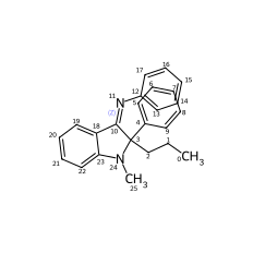 CCCC1(c2ccccc2)/C(=N\c2ccccc2)c2ccccc2N1C